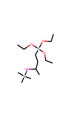 CCO[Si](CCC(C)P[Si](C)(C)C)(OCC)OCC